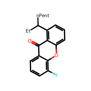 CCCCCC(CC)c1cccc2oc3c(F)cccc3c(=O)c12